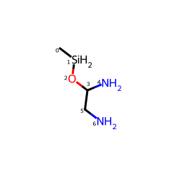 C[SiH2]OC(N)CN